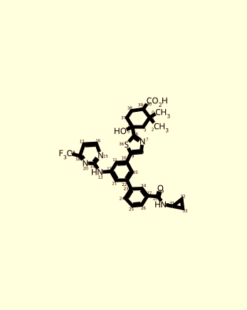 CC1(C)CC(O)(c2ncc(-c3cc(Nc4nccc(C(F)(F)F)n4)cc(-c4cccc(C(=O)NC5CC5)c4)c3)s2)CCC1C(=O)O